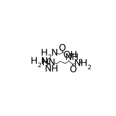 N=C(N)NCCCC(N)C(N)=O.NCC(=O)O